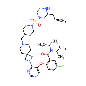 C=CC[C@H]1CN(S(=O)(=O)N2CCC(CN3CCC4(CC3)CN(c3ncncc3Oc3ccc(F)cc3C(=O)N(C(C)C)C(C)C)C4)CC2)CCN1